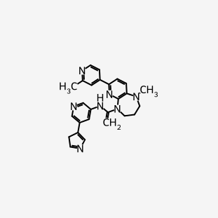 C=C(Nc1cncc(C2=CN=CC2)c1)N1CCCN(C)c2ccc(-c3ccnc(C)c3)nc21